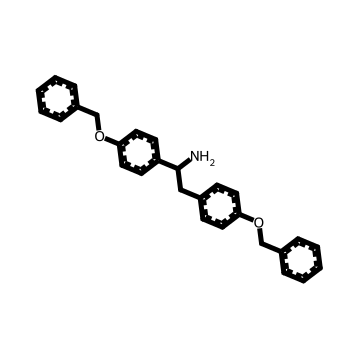 NC(Cc1ccc(OCc2ccccc2)cc1)c1ccc(OCc2ccccc2)cc1